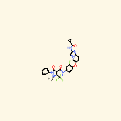 Cn1c(C(F)(F)F)c(C(=O)Nc2ccc(Oc3ccc4nc(NC(=O)C5CC5)cn4c3)c(F)c2)c(=O)n1-c1ccccc1